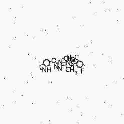 CCn1c(Oc2ccc3c(c2)NCC3)nnc1[C@@H](C)NS(=O)(=O)c1cc(F)ccc1C